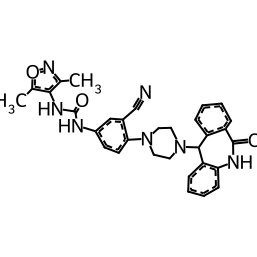 Cc1noc(C)c1NC(=O)Nc1ccc(N2CCN(C3c4ccccc4NC(=O)c4ccccc43)CC2)c(C#N)c1